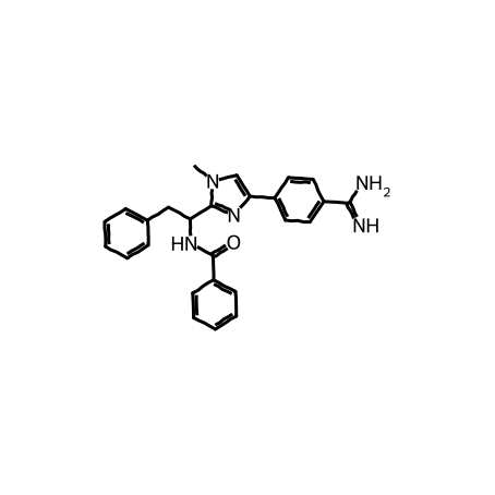 Cn1cc(-c2ccc(C(=N)N)cc2)nc1C(Cc1ccccc1)NC(=O)c1ccccc1